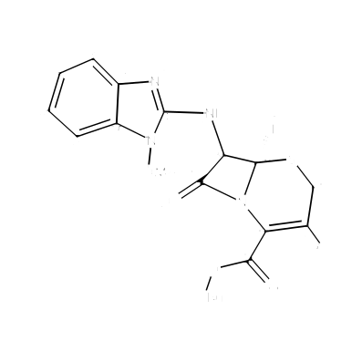 COn1c(NC2C(=O)N3C(C(=O)OC(C)(C)C)=C(C)CS[C@H]23)nc2ccccc21